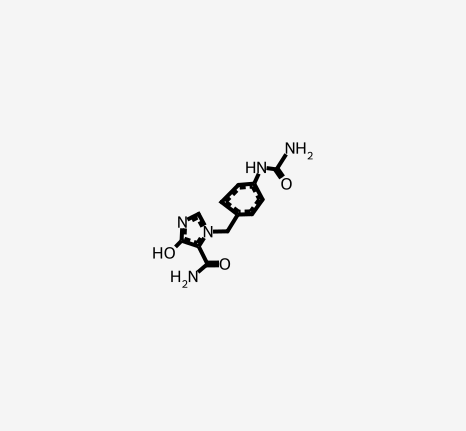 NC(=O)Nc1ccc(Cn2cnc(O)c2C(N)=O)cc1